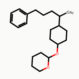 CC(=O)OC(CCCc1ccccc1)C1CCC(OC2CCCCO2)CC1